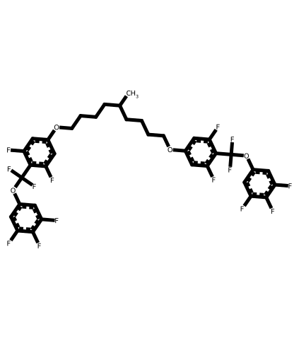 CC(CCCCOc1cc(F)c(C(F)(F)Oc2cc(F)c(F)c(F)c2)c(F)c1)CCCCOc1cc(F)c(C(F)(F)Oc2cc(F)c(F)c(F)c2)c(F)c1